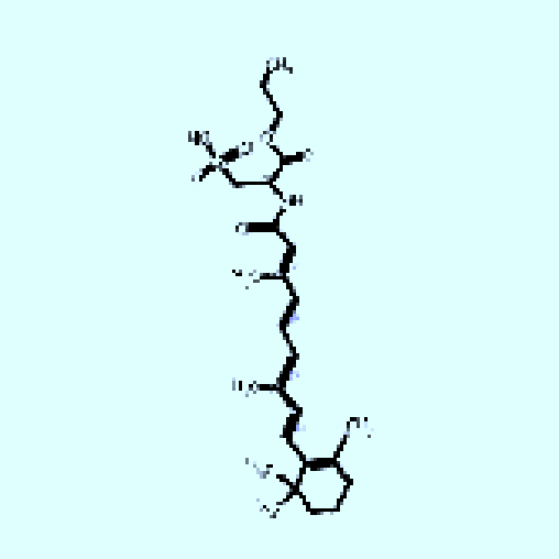 CCCOC(=O)[C@H](CS(=O)(=O)O)NC(=O)/C=C(C)/C=C/C=C(C)/C=C/C1=C(C)CCCC1(C)C